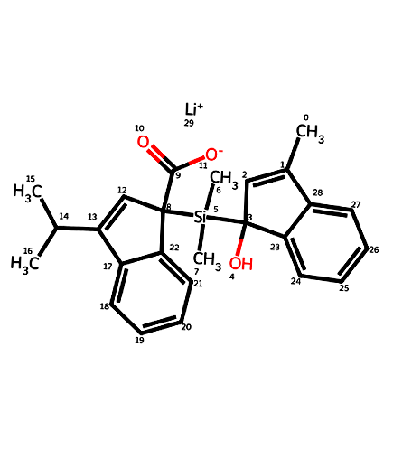 CC1=CC(O)([Si](C)(C)C2(C(=O)[O-])C=C(C(C)C)c3ccccc32)c2ccccc21.[Li+]